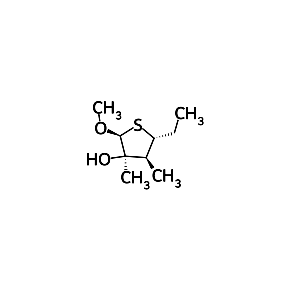 CC[C@H]1S[C@H](OC)[C@](C)(O)[C@@H]1C